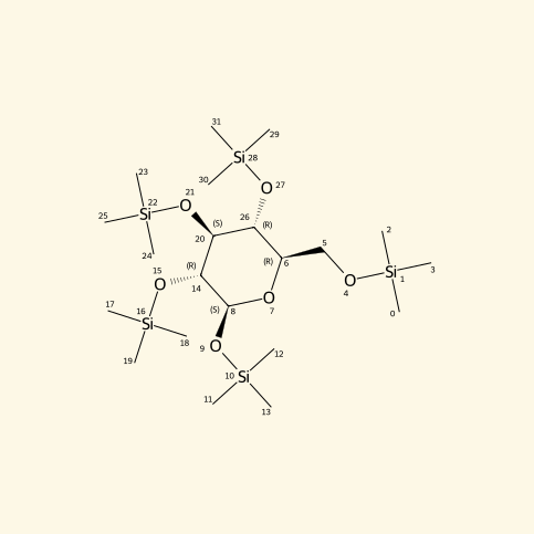 C[Si](C)(C)OC[C@H]1O[C@@H](O[Si](C)(C)C)[C@H](O[Si](C)(C)C)[C@@H](O[Si](C)(C)C)[C@@H]1O[Si](C)(C)C